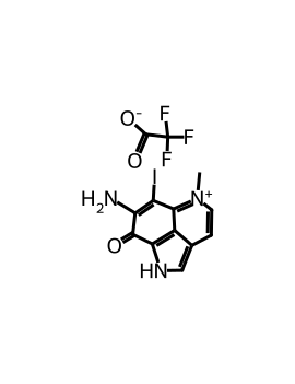 C[n+]1ccc2c[nH]c3c2c1C(I)=C(N)C3=O.O=C([O-])C(F)(F)F